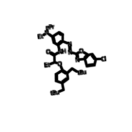 CCCN(CC)c1ccc(/N=N/c2nc3ccc(Cl)cc3o2)c(NC(=O)C(CC)Oc2ccc(CC(C)(C)C)cc2CC(C)(C)C)c1